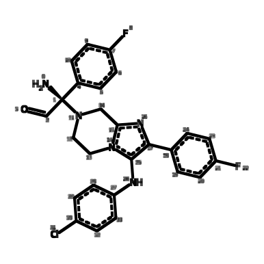 N[C@@](C=O)(c1ccc(F)cc1)N1CCn2c(nc(-c3ccc(F)cc3)c2Nc2ccc(Cl)cc2)C1